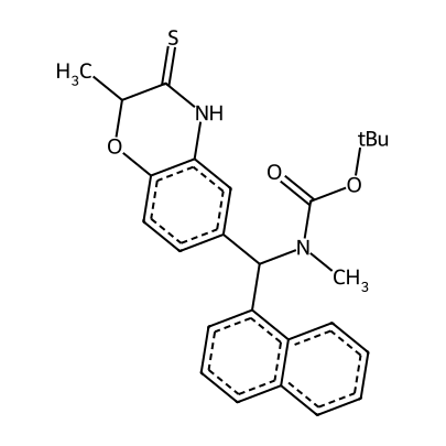 CC1Oc2ccc(C(c3cccc4ccccc34)N(C)C(=O)OC(C)(C)C)cc2NC1=S